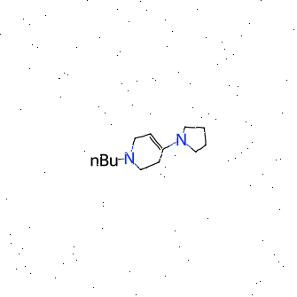 CCCCN1CC=C(N2CCCC2)CC1